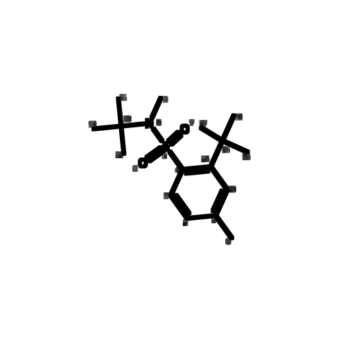 Cc1ccc(S(=O)(=O)N(C)C(C)(C)C)c(C(C)(C)C)c1